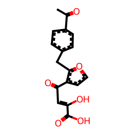 CC(=O)c1ccc(Cc2occc2C(=O)/C=C(\O)C(=O)O)cc1